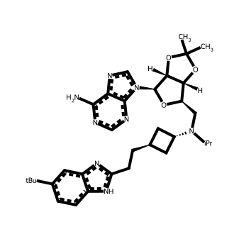 CC(C)N(C[C@H]1O[C@@H](n2cnc3c(N)ncnc32)[C@@H]2OC(C)(C)O[C@@H]21)[C@H]1C[C@H](CCc2nc3cc(C(C)(C)C)ccc3[nH]2)C1